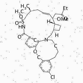 CCC(=O)C[C@]1(OC)/C=C/C[C@H](C)[C@@H](C)S(=O)(=O)NC(=O)c2ccc3c(c2)N(CCCCc2cc(Cl)ccc2CO3)C[C@@H]2CC[C@H]21